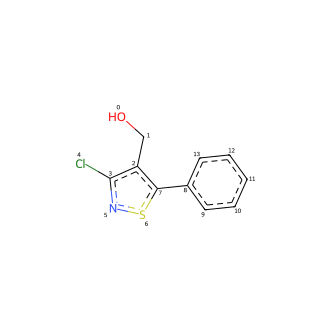 OCc1c(Cl)nsc1-c1ccccc1